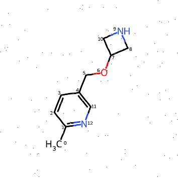 Cc1ccc(COC2CNC2)cn1